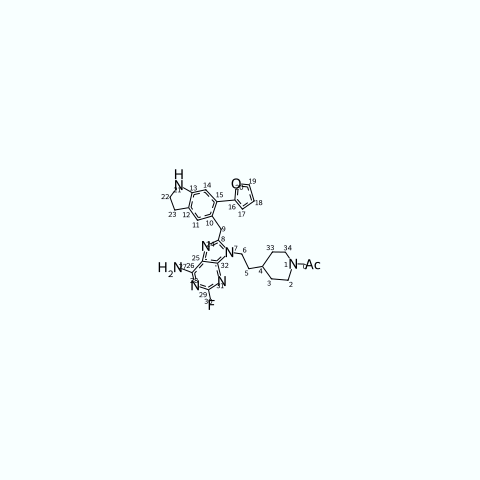 CC(=O)N1CCC(CCn2c(Cc3cc4c(cc3-c3ccco3)NCC4)nc3c(N)nc(F)nc32)CC1